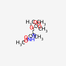 CCOC(=O)Nc1ccc2c(C=CC(=O)c3cc(OC)c(OC)c(OC)c3)cn(C)c2c1